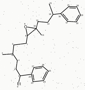 CCC(CCC(C)CCC1OC1(C)CCC(C)c1ccccc1)c1ccccc1